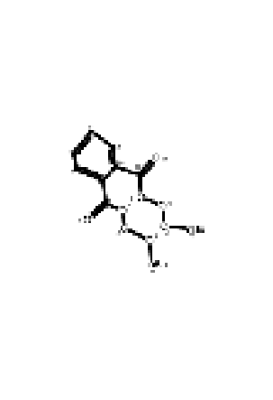 CCCCOOOC(=O)c1ccccc1C(=O)OOOCCCC